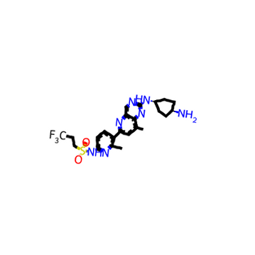 Cc1nc(NS(=O)(=O)CCC(F)(F)F)ccc1-c1cc(C)c2nc(N[C@H]3CC[C@H](N)CC3)ncc2n1